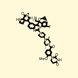 COc1ccc(C(=O)N2C[C@H](C)N(C3CCN(c4nc(C(CN)(OC5CC5)c5ccc(F)cc5)c5cc(-c6cn(C)c(=O)c7[nH]ccc67)ccc5n4)CC3)C[C@H]2C)cc1N1CCC(=O)NC1=O